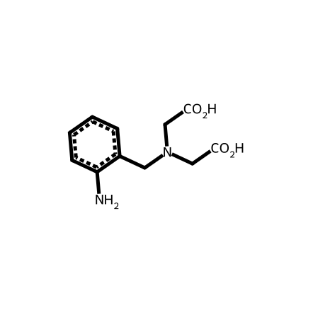 Nc1ccccc1CN(CC(=O)O)CC(=O)O